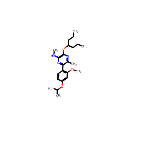 CCCC(CCC)Oc1nc(C)c(-c2ccc(OC(C)C)cc2OC)nc1NC